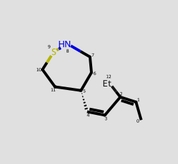 C/C=C(\C=C/[C@H]1CCNSCC1)CC